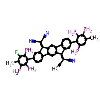 C#C/C(C#N)=C1/c2cc(-c3c(P)cc(C)c(P)c3P)ccc2-c2cc3c(cc21)-c1ccc(-c2c(P)c(F)c(C)c(P)c2P)cc1C3=C(C#N)C#N